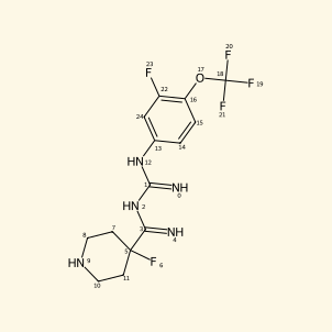 N=C(NC(=N)C1(F)CCNCC1)Nc1ccc(OC(F)(F)F)c(F)c1